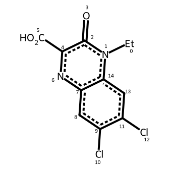 CCn1c(=O)c(C(=O)O)nc2cc(Cl)c(Cl)cc21